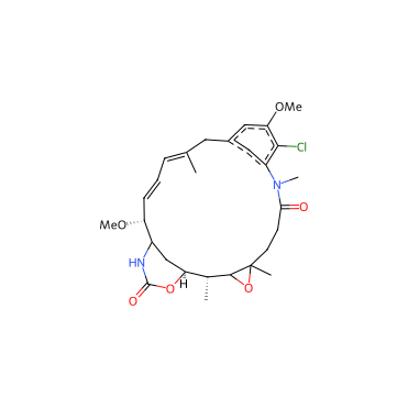 COc1cc2cc(c1Cl)N(C)C(=O)CCC1(C)OC1[C@H](C)[C@@H]1CC(NC(=O)O1)[C@H](OC)/C=C/C=C(\C)C2